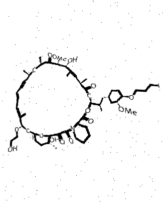 CO[C@@H]1C[C@H](C[C@@H](C)[C@@H]2CC(=O)[C@H](C)/C=C(\C)[C@@H](O)[C@@H](OC)C(=O)[C@H](C)C[C@H](C)/C=C/C=C/C=C(\C)[C@@H](OCCO)C[C@@H]3CC[C@@H](C)[C@@](O)(O3)C(=O)C(=O)N3CCCCC3C(=O)O2)CC[C@H]1OCCCI